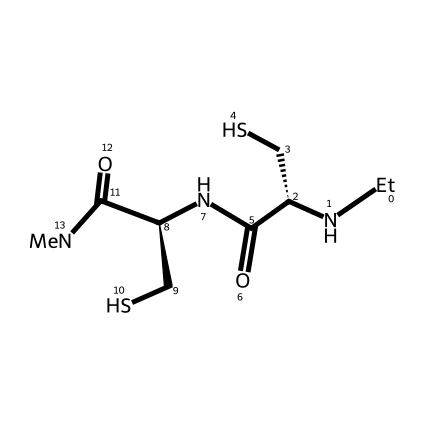 CCN[C@@H](CS)C(=O)N[C@@H](CS)C(=O)NC